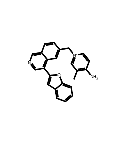 Cc1c[n+](Cc2ccc3cncc(-c4cc5ccccc5o4)c3c2)ccc1N